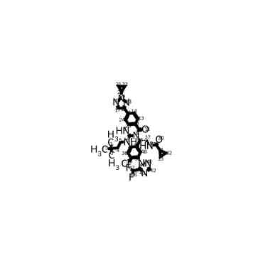 CC(C)(C)CCNC(=N)N(C(=O)c1ccc(-c2cnn(C3CC3)n2)cc1)[C@H](CNC(=O)C1CC1)c1ccc(Cl)c(-n2ncnc2C(F)F)c1